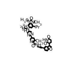 [2H]C([2H])([2H])N(c1cnc(-c2cnc(C(=O)NCC#Cc3ccc4occ(C5CCC(=O)NC5=O)c4c3)c(C)c2)nc1)c1cc(C(C)C)c2c(c1)n(C)c(=O)n2C